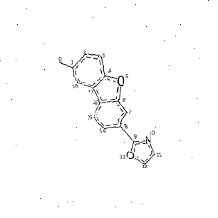 Cc1ccc2oc3cc(-c4ncco4)ccc3c2c1